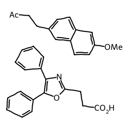 COc1ccc2cc(CCC(C)=O)ccc2c1.O=C(O)CCc1nc(-c2ccccc2)c(-c2ccccc2)o1